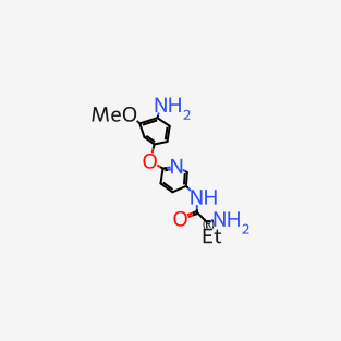 CC[C@@H](N)C(=O)Nc1ccc(Oc2ccc(N)c(OC)c2)nc1